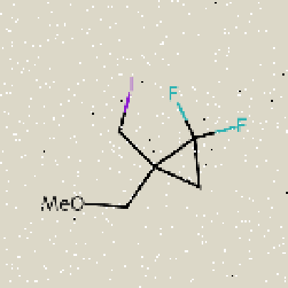 COCC1(CI)CC1(F)F